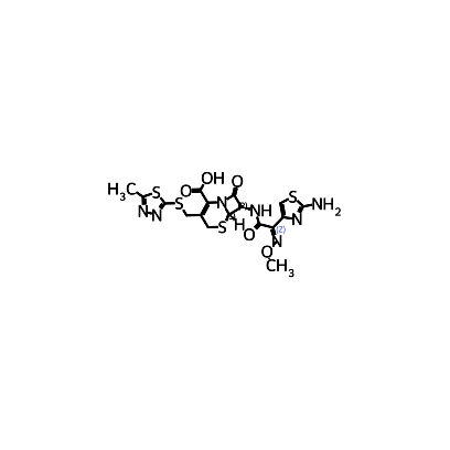 CO/N=C(\C(=O)N[C@@H]1C(=O)N2C(C(=O)O)=C(CSc3nnc(C)s3)CS[C@@H]12)c1csc(N)n1